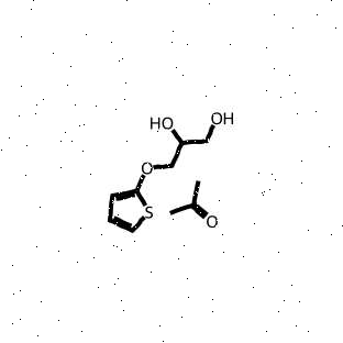 CC(C)=O.OCC(O)COc1cccs1